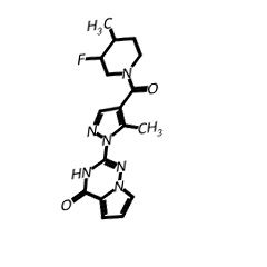 Cc1c(C(=O)N2CCC(C)C(F)C2)cnn1-c1nn2cccc2c(=O)[nH]1